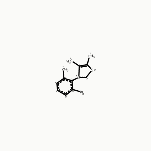 CC1=C(C)N(c2c(C)cccc2Br)CS1